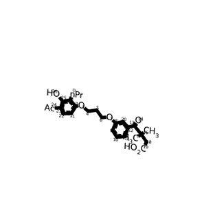 CCCc1c(OCCCOc2cccc(C(=O)C(C)(C)CC(=O)O)c2)ccc(C(C)=O)c1O